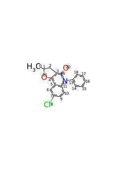 CC1Cc2c(c3cc(Cl)ccc3n(-c3ccccc3)c2=O)O1